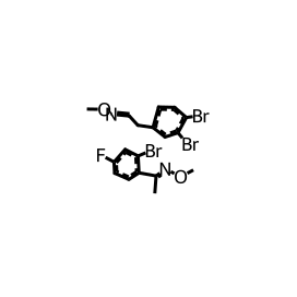 CON=C(C)c1ccc(F)cc1Br.CON=CCc1ccc(Br)c(Br)c1